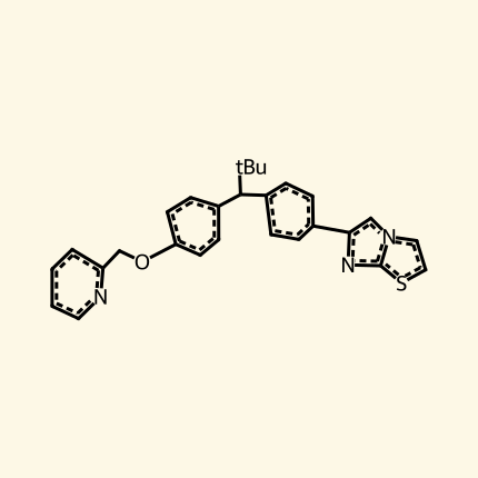 CC(C)(C)C(c1ccc(OCc2ccccn2)cc1)c1ccc(-c2cn3ccsc3n2)cc1